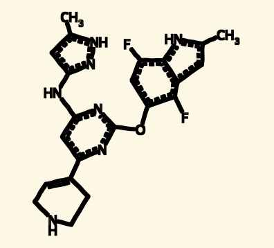 Cc1cc(Nc2cc(C3=CCNCC3)nc(Oc3cc(F)c4[nH]c(C)cc4c3F)n2)n[nH]1